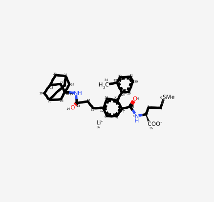 CSCC[C@H](NC(=O)c1ccc(CCC(=O)NC23CC4CC(CC(C4)C2)C3)cc1-c1ccccc1C)C(=O)[O-].[Li+]